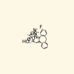 CS(=O)(=O)O[C@@H](CO)C[C@@H]1c2ccccc2Cc2ccc(F)cc2[C@H]1N=[N+]=[N-]